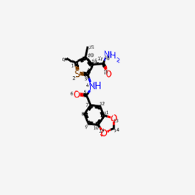 Cc1sc(NC(=O)c2ccc3c(c2)OCO3)c(C(N)=O)c1C